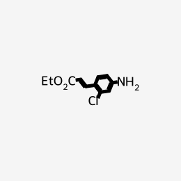 CCOC(=O)/C=C/c1ccc(N)cc1Cl